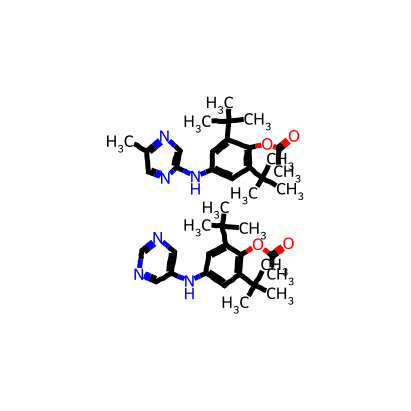 CC(=O)Oc1c(C(C)(C)C)cc(Nc2cnc(C)cn2)cc1C(C)(C)C.CC(=O)Oc1c(C(C)(C)C)cc(Nc2cncnc2)cc1C(C)(C)C